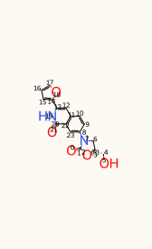 O=C1O[C@@H](CO)CN1c1ccc2cc(-c3ccco3)[nH]c(=O)c2c1